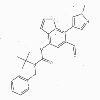 Cn1cc(-c2c(C=O)cc(OC(=O)N(Cc3ccccc3)C(C)(C)C)c3ccoc23)cn1